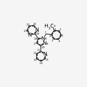 Cc1ccccc1Cn1nc(-c2ccccn2)cc1-c1ncccn1